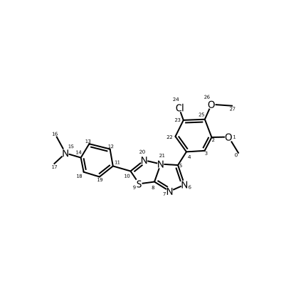 COc1cc(-c2nnc3sc(-c4ccc(N(C)C)cc4)nn23)cc(Cl)c1OC